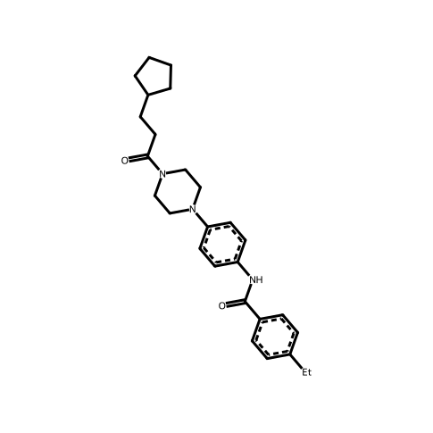 CCc1ccc(C(=O)Nc2ccc(N3CCN(C(=O)CCC4CCCC4)CC3)cc2)cc1